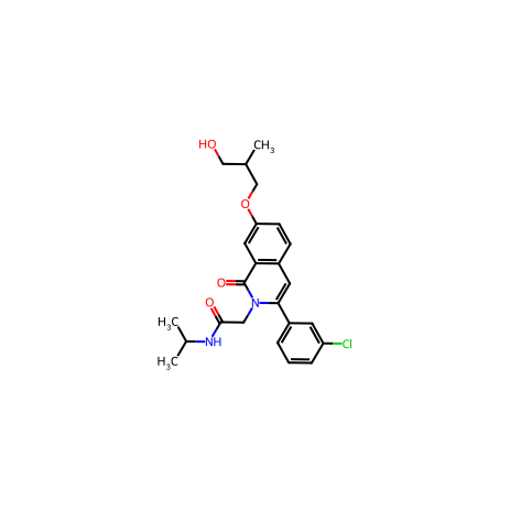 CC(CO)COc1ccc2cc(-c3cccc(Cl)c3)n(CC(=O)NC(C)C)c(=O)c2c1